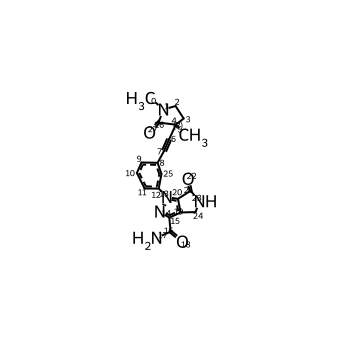 CN1CC[C@](C)(C#Cc2cccc(-n3nc(C(N)=O)c4c3C(=O)NC4)c2)C1=O